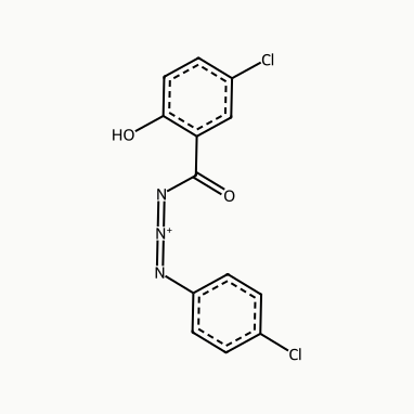 O=C(N=[N+]=Nc1ccc(Cl)cc1)c1cc(Cl)ccc1O